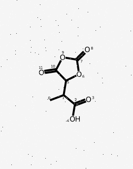 CC(C(=O)O)C1OC(=O)OC1=O